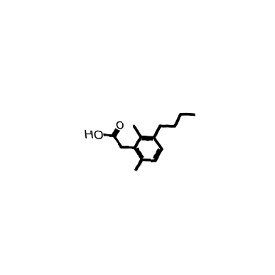 CCCCc1ccc(C)c(CC(=O)O)c1C